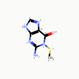 CSn1c(N)nc2[nH]cnc2c1=O